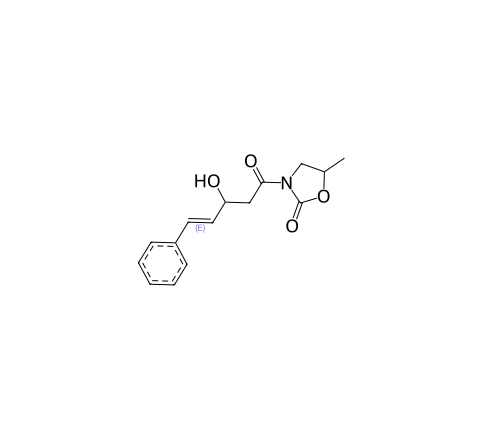 CC1CN(C(=O)CC(O)/C=C/c2ccccc2)C(=O)O1